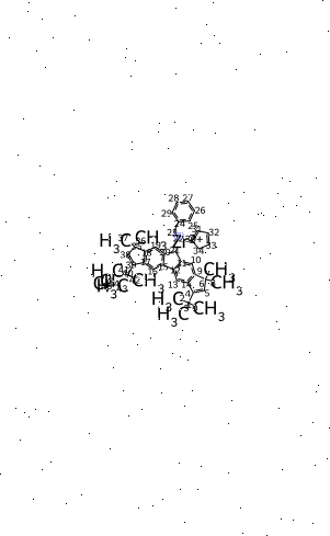 CC(C)(C)C1=CC(C)(C)c2cc3c(cc21)-c1cc2c(cc1[CH]3/[Zr+2](=[CH]/c1ccccc1)[C]1=CC=CC1)C(C)(C)C=C2C(C)(C)C.[Cl-].[Cl-]